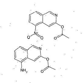 CC(=O)Oc1cc2c(N)cccc2cn1.CC(=O)Oc1cc2c([N+](=O)[O-])cccc2cn1